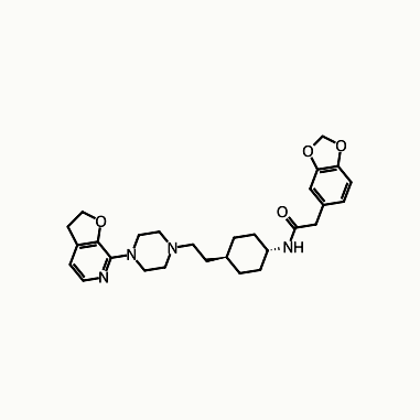 O=C(Cc1ccc2c(c1)OCO2)N[C@H]1CC[C@H](CCN2CCN(c3nccc4c3OCC4)CC2)CC1